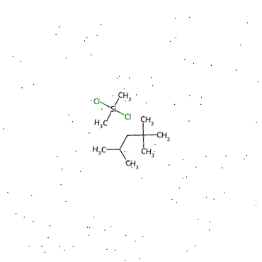 CC(C)CC(C)(C)C.C[Si](C)(Cl)Cl